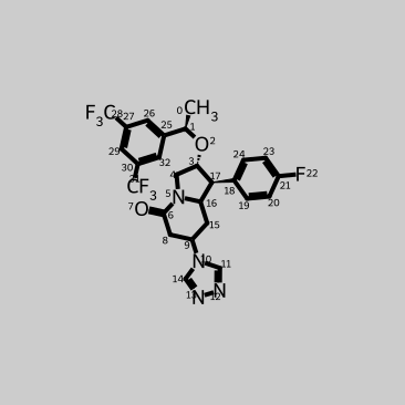 C[C@@H](O[C@H]1CN2C(=O)CC(n3cnnc3)CC2[C@@H]1c1ccc(F)cc1)c1cc(C(F)(F)F)cc(C(F)(F)F)c1